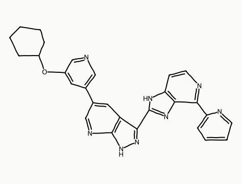 c1ccc(-c2nccc3[nH]c(-c4n[nH]c5ncc(-c6cncc(OC7CCCCC7)c6)cc45)nc23)nc1